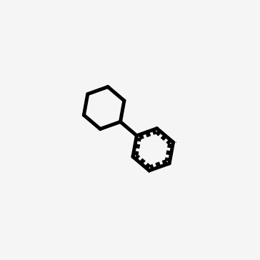 [c]1c[c]cc(C2CCCCC2)c1